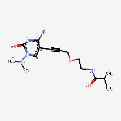 CC(C)C(=O)NCCOCC#Cc1cn(N(C)C)c(=O)nc1N